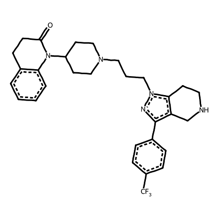 O=C1CCc2ccccc2N1C1CCN(CCCn2nc(-c3ccc(C(F)(F)F)cc3)c3c2CCNC3)CC1